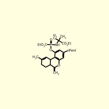 C=C1Oc2cc(CCCCC)cc(OP(=O)(NC(C)(C)C(=O)OCC)C(=O)OCC)c2C2C=C(C)CCC12